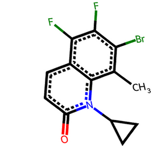 Cc1c(Br)c(F)c(F)c2ccc(=O)n(C3CC3)c12